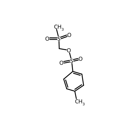 Cc1ccc(S(=O)(=O)OCS(C)(=O)=O)cc1